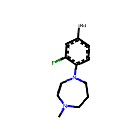 CN1CCCN(c2ccc(C(C)(C)C)cc2F)CC1